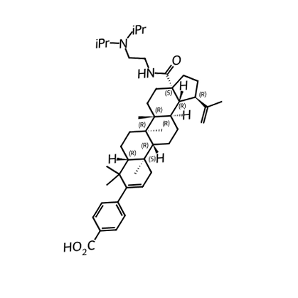 C=C(C)[C@@H]1CC[C@]2(C(=O)NCCN(C(C)C)C(C)C)CC[C@]3(C)[C@H](CC[C@@H]4[C@@]5(C)CC=C(c6ccc(C(=O)O)cc6)C(C)(C)[C@@H]5CC[C@]43C)[C@@H]12